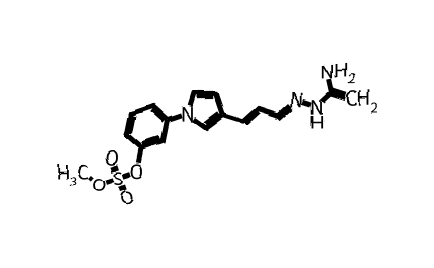 C=C(N)N/N=C/C=C/c1ccn(-c2cccc(OS(=O)(=O)OC)c2)c1